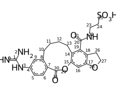 N=C(N)Nc1ccc2c(c1)CCCCc1c(cc3c(c1C(=O)NCCS(=O)(=O)O)CCO3)OC2=O